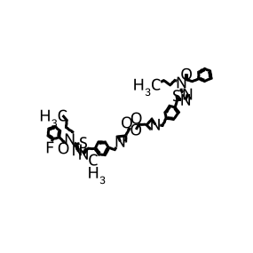 CCCCN(C(=O)Cc1ccccc1)c1nnc(-c2ccc(CN3CC(C(=O)OC(=O)C4CN(Cc5ccc(-c6nnc(N(CCCC)C(=O)c7ccccc7F)s6)c(C)c5)C4)C3)cc2)s1